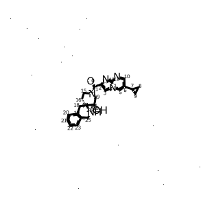 O=C(c1cn2cc(C3CC3)cnc2n1)N1CC[C@]2(Cc3ccccc3CN2)[C@H](O)C1